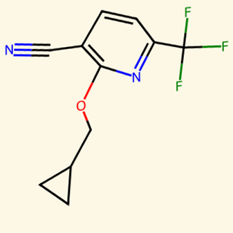 N#Cc1ccc(C(F)(F)F)nc1OCC1CC1